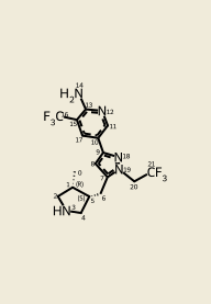 C[C@H]1CNC[C@H]1Cc1cc(-c2cnc(N)c(C(F)(F)F)c2)nn1CC(F)(F)F